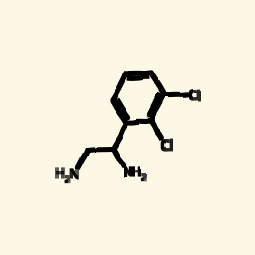 NCC(N)c1cccc(Cl)c1Cl